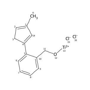 CC1=CCC(c2ccccc2C[O][Ti+2])=C1.[Cl-].[Cl-]